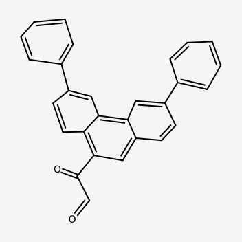 O=CC(=O)c1cc2ccc(-c3ccccc3)cc2c2cc(-c3ccccc3)ccc12